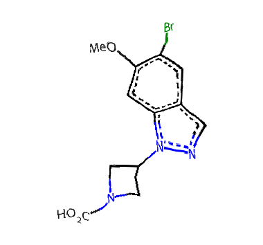 COc1cc2c(cnn2C2CN(C(=O)O)C2)cc1Br